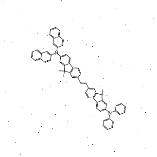 CC1(C)c2cc(/C=C/c3ccc4c(c3)C(C)(C)c3cc(N(c5ccc6ccccc6c5)c5ccc6ccccc6c5)ccc3-4)ccc2-c2ccc(N(c3ccccc3)c3ccccc3)cc21